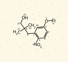 CCOc1ccc([N+](=O)[O-])c(CC(C)(C)CO)c1